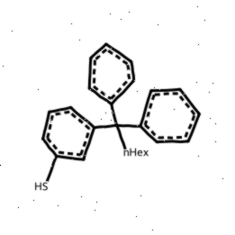 CCCCCCC(c1ccccc1)(c1ccccc1)c1cccc(S)c1